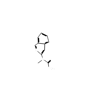 COC(=O)N(C)c1cc2ccccc2[c]n1